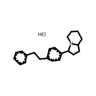 Cl.c1ccc(CCc2ccc(C3CCC4CCCCN43)cc2)cc1